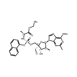 CNc1nc(C)nc2c1ncn2[C@@H]1O[C@](CCl)(CO[P@@](=S)(N[C@@H](C)C(=O)OCC(C)(C)C)Oc2cccc3ccccc23)[C@@H](O)[C@@H]1F